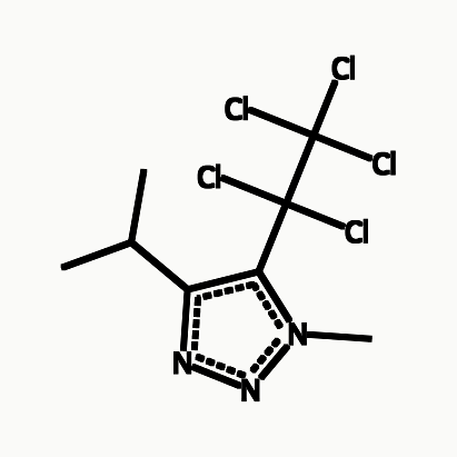 CC(C)c1nnn(C)c1C(Cl)(Cl)C(Cl)(Cl)Cl